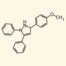 COc1ccc(C2C=C(c3ccccc3)N(c3ccccc3)N2)cc1